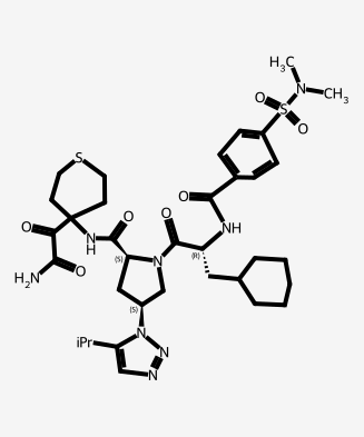 CC(C)c1cnnn1[C@H]1C[C@@H](C(=O)NC2(C(=O)C(N)=O)CCSCC2)N(C(=O)[C@@H](CC2CCCCC2)NC(=O)c2ccc(S(=O)(=O)N(C)C)cc2)C1